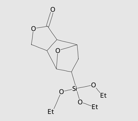 CCO[Si](OCC)(OCC)C1CC2OC1C1COC(=O)C21